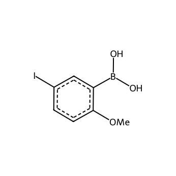 COc1ccc(I)cc1B(O)O